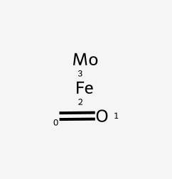 C=O.[Fe].[Mo]